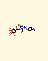 CCc1n(N=Cc2ccc(N(C)C)cc2)cc[n+]1CC(=O)c1cc(OC)c(OC)c(OC)c1.[Br-]